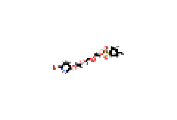 Cc1ccc(S(=O)(=O)OCCOCCOCCOc2ccc(Br)nc2)cc1